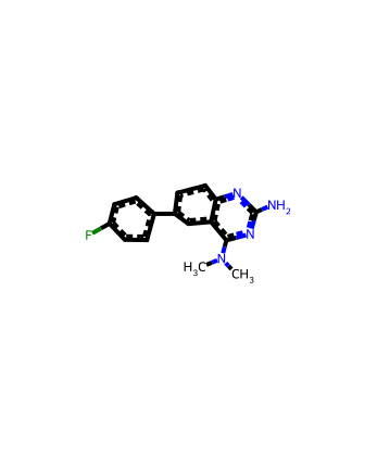 CN(C)c1nc(N)nc2ccc(-c3ccc(F)cc3)cc12